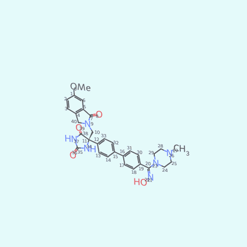 COc1ccc2c(c1)C(=O)N(C[C@@]1(c3ccc(-c4ccc(/C(=N\O)N5CCN(C)CC5)cc4)cc3)NC(=O)NC1=O)C2